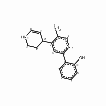 Nc1nnc(-c2ccccc2O)cc1C1C=CNCC1